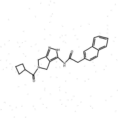 O=C(Cc1ccc2ccccc2c1)Nc1[nH]nc2c1CN(C(=O)C1CCC1)C2